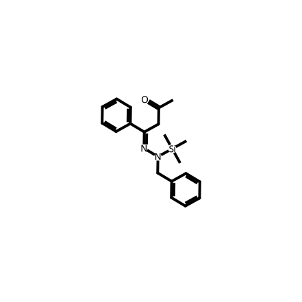 CC(=O)C/C(=N\N(Cc1ccccc1)[Si](C)(C)C)c1ccccc1